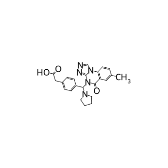 Cc1ccc2c(c1)c(=O)n(C(c1ccc(CC(=O)O)cc1)N1CCCC1)c1nncn21